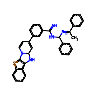 C/C(=N\C(NC(=N)c1cccc(C2=CC3Nc4c(sc5ccccc45)N3C=C2)c1)c1ccccc1)c1ccccc1